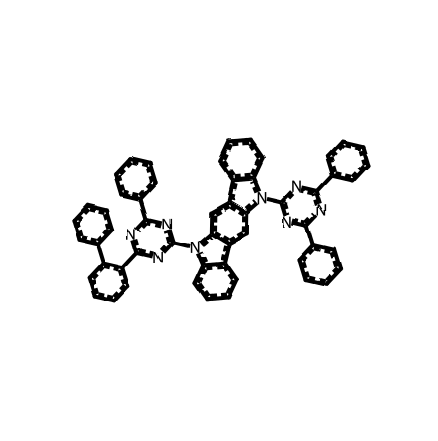 c1ccc(-c2nc(-c3ccccc3)nc(-n3c4ccccc4c4cc5c(cc43)c3ccccc3n5-c3nc(-c4ccccc4)nc(-c4ccccc4-c4ccccc4)n3)n2)cc1